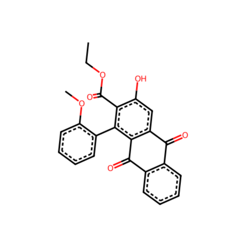 CCOC(=O)c1c(O)cc2c(c1-c1ccccc1OC)C(=O)c1ccccc1C2=O